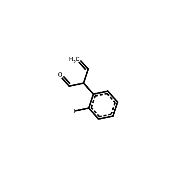 C=CC(C=O)c1ccccc1I